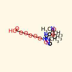 COc1cc2c(cc1-c1c(C)noc1C)ncc1c2n(C(C)c2ccccn2)c(=O)n1CCOCCOCCOCCOCCOCCC(=O)O